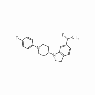 CC(F)c1ccc2c(c1)N(C1CCN(c3ccc(F)cc3)CC1)CC2